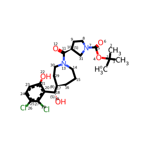 CC(C)(C)OC(=O)N1CC[C@H](C(=O)N2CCC[C@@H]([C@H](O)c3c(O)ccc(Cl)c3Cl)CC2)C1